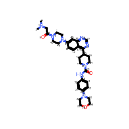 CN(C)CC(=O)N1CCN(c2ccc3c(C4CCN(C(=O)Nc5ccc(N6CCOCC6)cc5)CC4)ncnc3c2)CC1